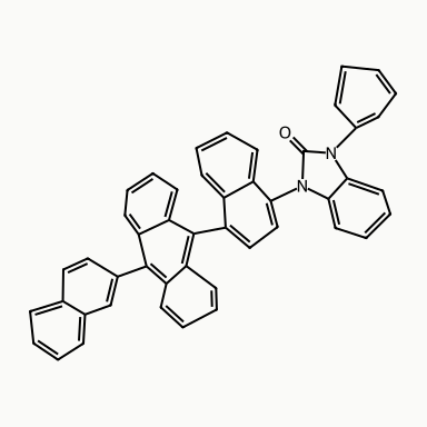 O=c1n(-c2ccccc2)c2ccccc2n1-c1ccc(-c2c3ccccc3c(-c3ccc4ccccc4c3)c3ccccc23)c2ccccc12